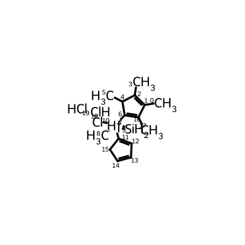 CC1=C(C)C(C)[C]([Hf]([CH3])(=[SiH2])([Cl])[C]2=CC=CC2)=C1C.Cl.Cl